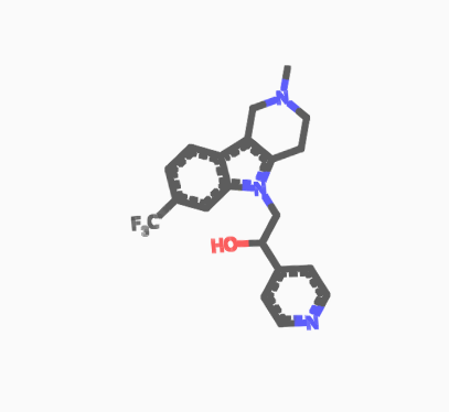 CN1CCc2c(c3ccc(C(F)(F)F)cc3n2CC(O)c2ccncc2)C1